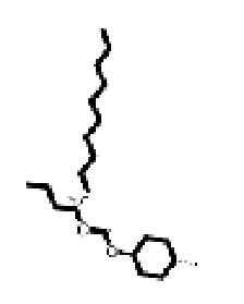 CCCCCCCCCC[C@@H](CCC)O[C]O[C@H]1CC[C@H](C)CC1